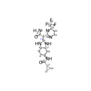 NC(=O)/C(=C1\Nc2ccc(NC(=O)C3CC3)cc2N1)c1nccc(C(F)(F)F)n1